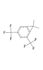 CC1(C)c2cc(C(F)(F)F)cc(C(F)(F)F)c21